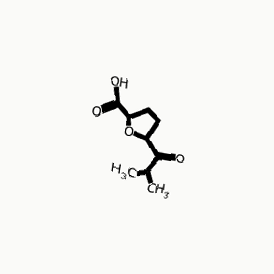 CC(C)C(=O)C1CCC(C(=O)O)O1